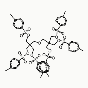 Cc1ccc(S(=O)(=O)OCC(COCC(COS(=O)(=O)c2ccc(C)cc2)(COS(=O)(=O)c2ccc(C)cc2)COS(=O)(=O)c2ccc(C)cc2)(COS(=O)(=O)c2ccc(C)cc2)COS(=O)(=O)c2ccc(C)cc2)cc1